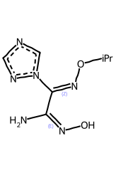 CC(C)O/N=C(/C(N)=N\O)n1cncn1